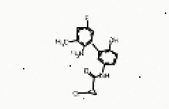 Cc1cc(F)cc(-c2cc(NC(=O)C3CC3Cl)ccc2O)c1N